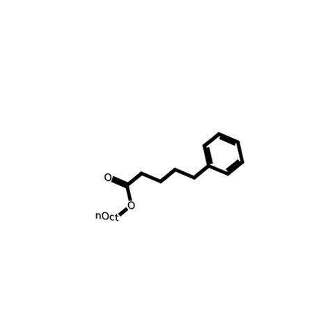 CCCCCCCCOC(=O)CCCCc1ccccc1